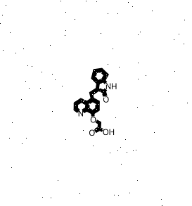 O=C(O)COc1ccc(C=C2C(=O)Nc3ccccc32)c2cccnc12